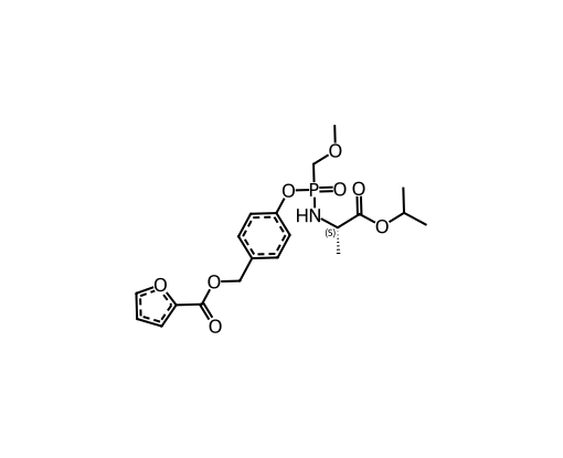 COCP(=O)(N[C@@H](C)C(=O)OC(C)C)Oc1ccc(COC(=O)c2ccco2)cc1